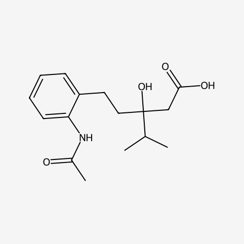 CC(=O)Nc1ccccc1CCC(O)(CC(=O)O)C(C)C